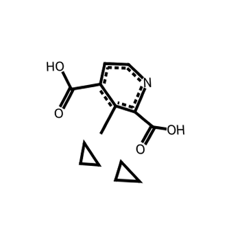 C1CC1.C1CC1.Cc1c(C(=O)O)ccnc1C(=O)O